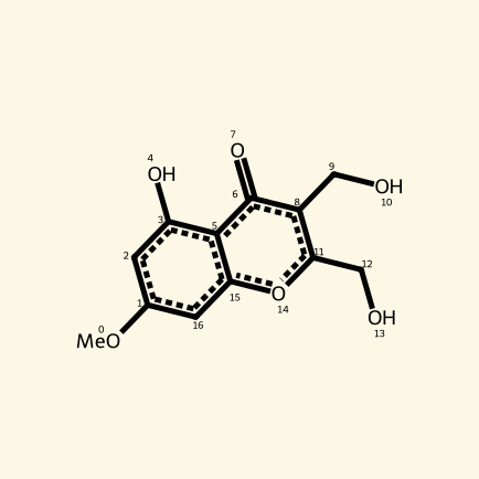 COc1cc(O)c2c(=O)c(CO)c(CO)oc2c1